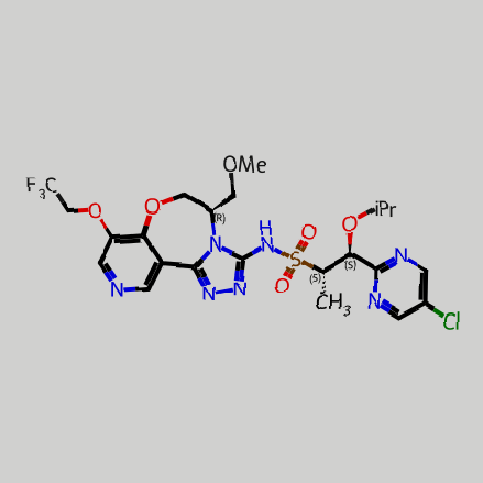 COC[C@@H]1COc2c(OCC(F)(F)F)cncc2-c2nnc(NS(=O)(=O)[C@@H](C)[C@@H](OC(C)C)c3ncc(Cl)cn3)n21